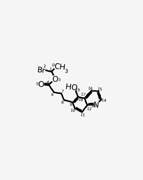 CC(Br)OC(=O)CCCc1ccc2ncccc2c1O